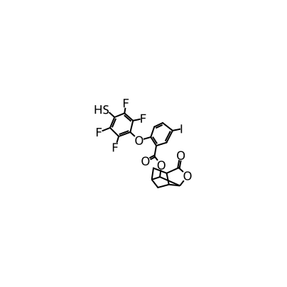 O=C(OC1C2CC3C(=O)OC1C3C2)c1cc(I)ccc1Oc1c(F)c(F)c(S)c(F)c1F